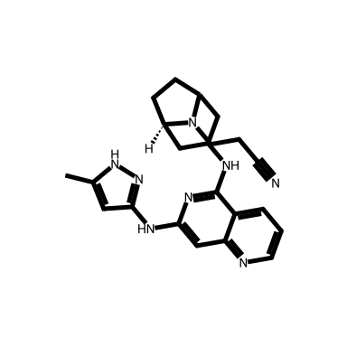 Cc1cc(Nc2cc3ncccc3c(NC3CC4CC[C@H](C3)N4CCC#N)n2)n[nH]1